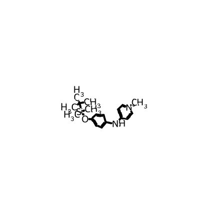 C[n+]1ccc(Nc2ccc(O[Si](C)(C)C(C)(C)C)cc2)cc1